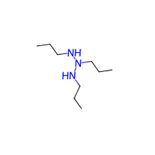 CCCNN(CCC)NCCC